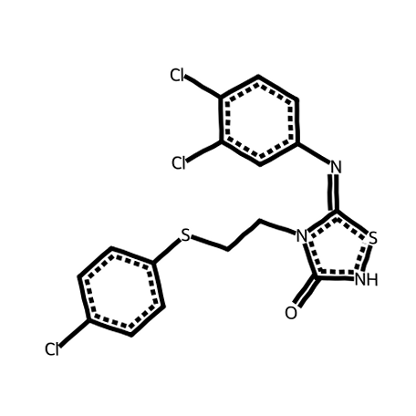 O=c1[nH]sc(=Nc2ccc(Cl)c(Cl)c2)n1CCSc1ccc(Cl)cc1